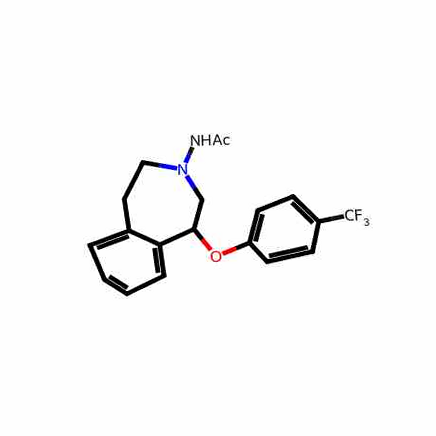 CC(=O)NN1CCc2ccccc2C(Oc2ccc(C(F)(F)F)cc2)C1